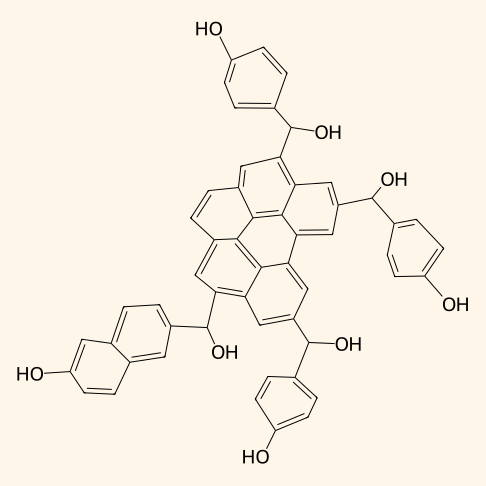 Oc1ccc(C(O)c2cc3c(C(O)c4ccc(O)cc4)cc4ccc5cc(C(O)c6ccc7cc(O)ccc7c6)c6cc(C(O)c7ccc(O)cc7)cc7c(c2)c3c4c5c67)cc1